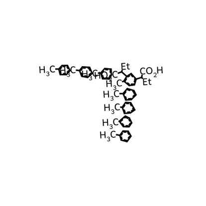 CCC(C(=O)O)c1ccc(C)c(C(CC)C(=O)O)c1.Cc1ccccc1.Cc1ccccc1.Cc1ccccc1.Cc1ccccc1.Cc1ccccc1.Cc1ccccc1.Cc1ccccc1